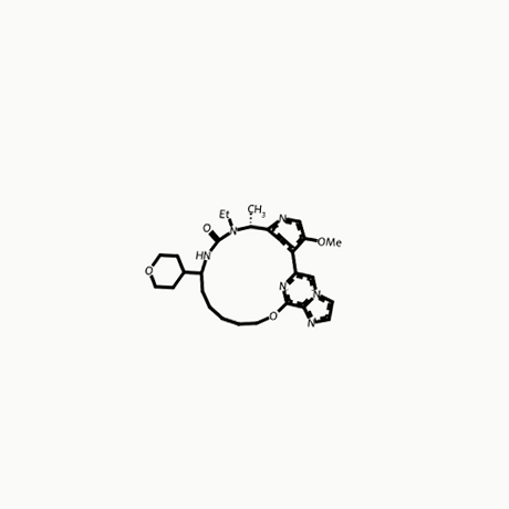 CCN1C(=O)NC(C2CCOCC2)CCCCCOc2nc(cn3ccnc23)-c2cc(ncc2OC)[C@H]1C